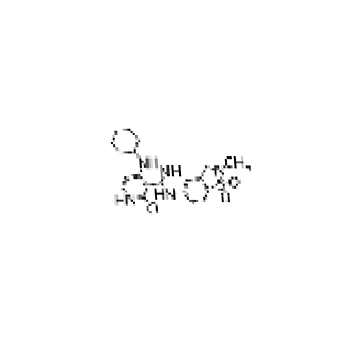 CN1Cc2cc(NC(=N)c3c(NC4CCCCC4)cc[nH]c3=O)ccc2S1(=O)=O